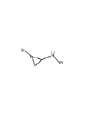 CCN1CC1NC(C)C